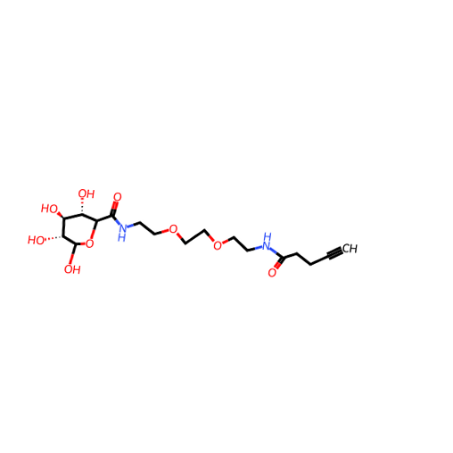 C#CCCC(=O)NCCOCCOCCNC(=O)C1OC(O)[C@H](O)[C@@H](O)[C@@H]1O